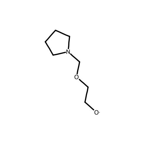 [O]CCOCN1CCCC1